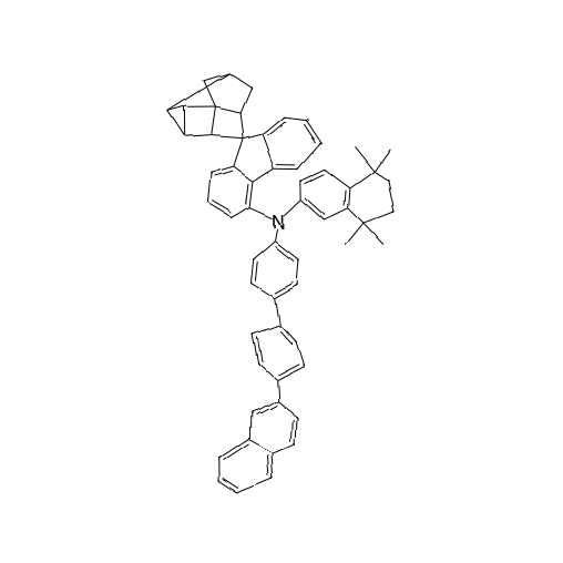 CC1(C)CCC(C)(C)c2cc(N(c3ccc(-c4ccc(-c5ccc6ccccc6c5)cc4)cc3)c3cccc4c3-c3ccccc3C43C4CC5CC46C4C5C4C36)ccc21